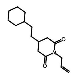 C=CCN1C(=O)CC(CCC2CCCCC2)CC1=O